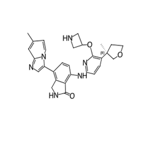 Cc1ccn2c(-c3ccc(Nc4ccc([C@@]5(C)CCOC5)c(OC5CNC5)n4)c4c3CNC4=O)cnc2c1